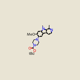 COc1cc2c(cc1N1CCN(C(=O)OC(C)(C)C)CC1)c1ccnc(C)c1n2C